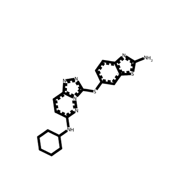 Nc1nc2ccc(Sc3nnc4ccc(NC5CCCCC5)nn34)cc2s1